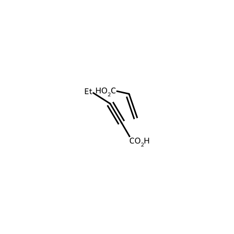 C=CC(=O)O.CCC#CC(=O)O